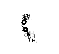 CCNC(=O)Nc1ccc(Sc2ccc(S(C)(=O)=O)cc2)cc1